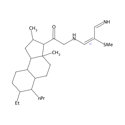 CCCC1C(CC)CCC2C1CCC1(C)C2CC(C)C1C(=O)CN/C=C(\C=N)SC